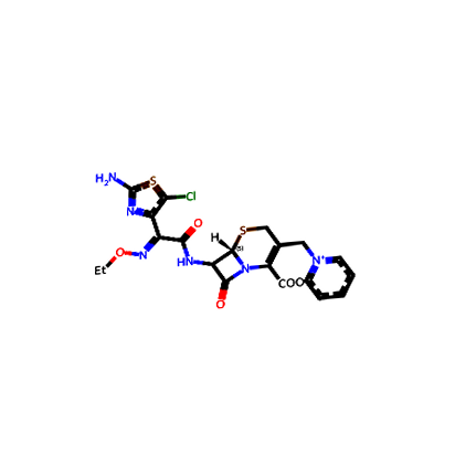 CCON=C(C(=O)NC1C(=O)N2C(C(=O)[O-])=C(C[n+]3ccccc3)CS[C@@H]12)c1nc(N)sc1Cl